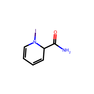 NC(=O)C1C=CC=CN1I